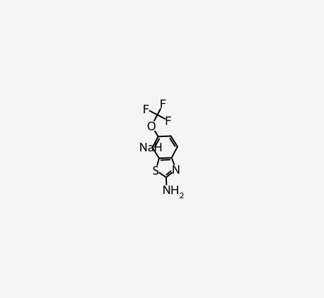 Nc1nc2ccc(OC(F)(F)F)cc2s1.[NaH]